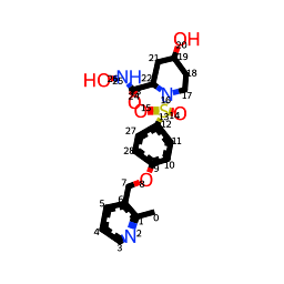 Cc1ncccc1COc1ccc(S(=O)(=O)N2CCC(O)CC2C(=O)NO)cc1